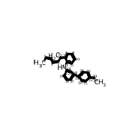 C=C(/C=C\C=C/C)c1ccccc1Nc1cccc(-c2ccc(CC)cc2)c1